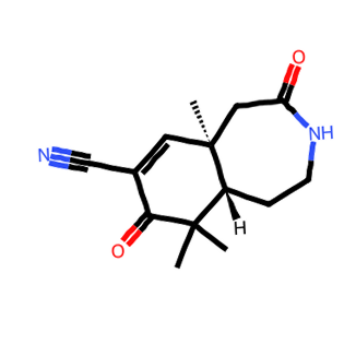 CC1(C)C(=O)C(C#N)=C[C@@]2(C)CC(=O)NCC[C@H]12